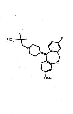 COc1ccc2c(c1)OCc1cc(F)ccc1C2=C1CCN(CC(C)(C)C(=O)O)CC1